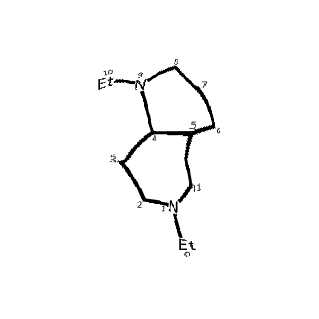 CCN1CCC2C(CCCN2CC)C1